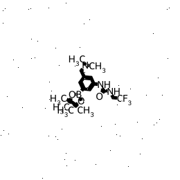 CN(C)Cc1cc(NC(=O)NCC(F)(F)F)cc(B2OC(C)(C)C(C)(C)O2)c1